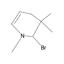 CN1C=CCC(C)(C)C1Br